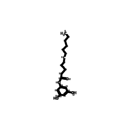 CCCCCCCCCCCC(=O)Oc1cc(O)cc(O)c1